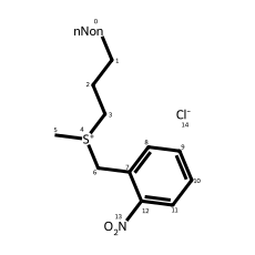 CCCCCCCCCCCC[S+](C)Cc1ccccc1[N+](=O)[O-].[Cl-]